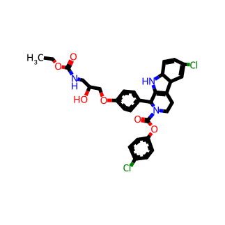 CCOC(=O)NCC(O)COc1ccc(C2C3=C(CCN2C(=O)Oc2ccc(Cl)cc2)C2C=C(Cl)C=CC2N3)cc1